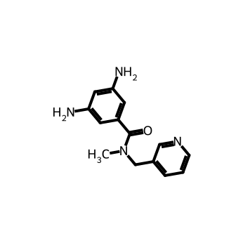 CN(Cc1cccnc1)C(=O)c1cc(N)cc(N)c1